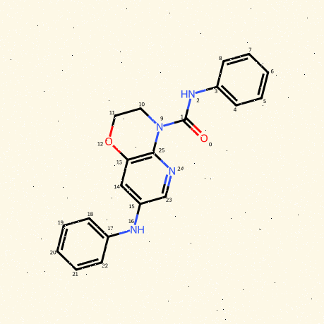 O=C(Nc1ccccc1)N1CCOc2cc(Nc3ccccc3)cnc21